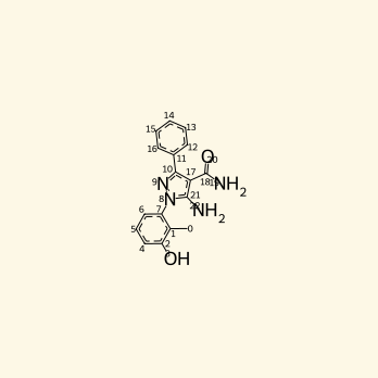 Cc1c(O)cccc1-n1nc(-c2ccccc2)c(C(N)=O)c1N